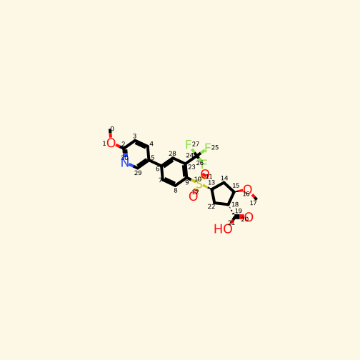 COc1ccc(-c2ccc(S(=O)(=O)[C@H]3C[C@@H](OC)[C@H](C(=O)O)C3)c(C(F)(F)F)c2)cn1